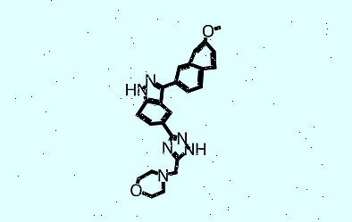 COc1ccc2ccc(-c3n[nH]c4ccc(-c5n[nH]c(CN6CCOCC6)n5)cc34)cc2c1